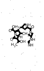 CC(O)C1C(=O)N2C(C(=O)O)=C(SC3CNC(C(=O)N4CC(NC=N)C4)C3)C(C)[C@@H]12